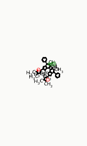 Cc1cc(C2=Cc3c(cc(C)c(C)c3-c3ccccc3)[CH]2[Zr]([CH]2C(c3cc(C)c(C)o3)=Cc3c2cc(C)c(C)c3-c2ccccc2)=[Si](C)C)oc1C.Cl.Cl